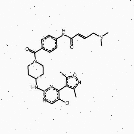 Cc1noc(C)c1-c1nc(NC2CCN(C(=O)c3ccc(NC(=O)C=CCN(C)C)cc3)CC2)ncc1Cl